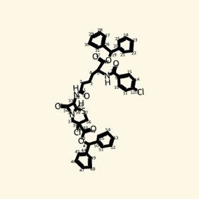 O=C(CCCC(NC(=O)c1ccc(Cl)cc1)C(=O)OC(c1ccccc1)c1ccccc1)NC1C(=O)N2CC(Cl)(C(=O)OC(c3ccccc3)c3ccccc3)CS[C@H]12